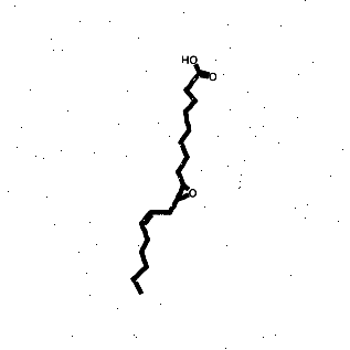 CCCCC/C=C\CC1OC1CCCCCCCC(=O)O